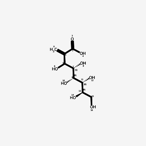 C=C(C(=O)O)C(O)[C@H](O)[C@@H](O)[C@H](O)[C@H](O)CO